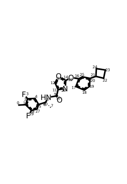 Cc1c(F)cc([C@@H](C)NC(=O)c2coc(Oc3cccc(C4CCC4)c3)n2)cc1F